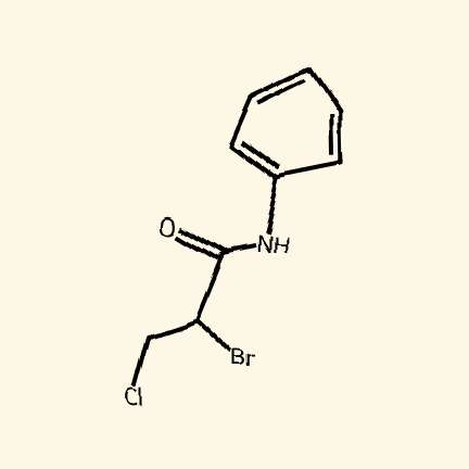 O=C(Nc1ccccc1)C(Br)CCl